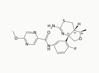 COc1cnc(C(=O)Nc2ccc(F)c([C@]34CO[C@H](C)[C@H]3CSC(N)=N4)c2)cn1